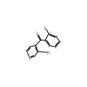 Nc1cnccc1C(=O)c1ccccc1Cl